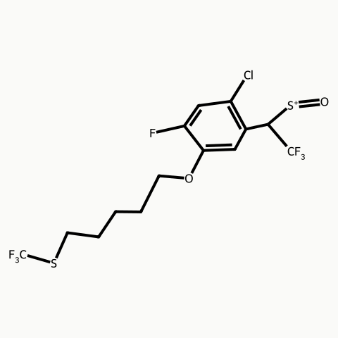 O=[S+]C(c1cc(OCCCCCSC(F)(F)F)c(F)cc1Cl)C(F)(F)F